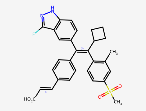 Cc1cc(S(C)(=O)=O)ccc1/C(=C(\c1ccc(/C=C/C(=O)O)cc1)c1ccc2[nH]nc(F)c2c1)C1CCC1